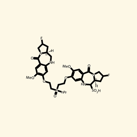 CCCP(=O)(CCOc1cc2c(cc1OC)C(=O)N1CC(F)C[C@H]1CN2)CCOc1cc2c(cc1OC)C(=O)N1CC(F)C[C@H]1C(S(=O)(=O)O)N2